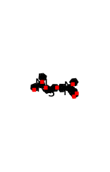 c1ccc(-c2nc(-c3ccccc3)nc(-c3ccc4sc5cc(-c6ccc(-c7nc(-c8ccccc8)c8sc9ccccc9c8n7)cc6)ccc5c4c3)n2)cc1